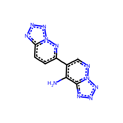 Nc1c(-c2ccc3nnnn3n2)[c]nn2nnnc12